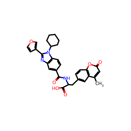 Cc1cc(=O)oc2ccc(CC(NC(=O)c3ccc4c(c3)nc(-c3ccoc3)n4C3CCCCC3)C(=O)O)cc12